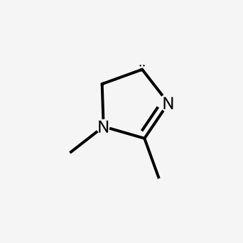 CC1=N[C]CN1C